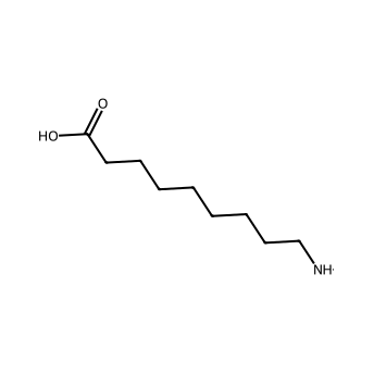 [NH]CCCCCCCCC(=O)O